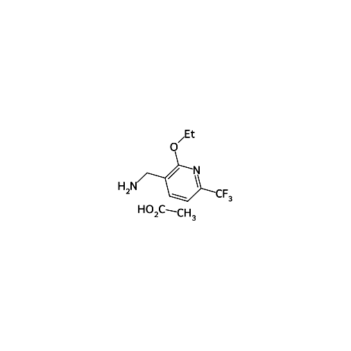 CC(=O)O.CCOc1nc(C(F)(F)F)ccc1CN